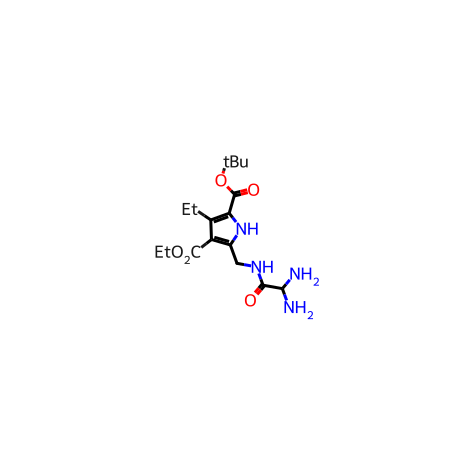 CCOC(=O)c1c(CNC(=O)C(N)N)[nH]c(C(=O)OC(C)(C)C)c1CC